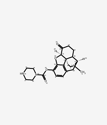 CN1CC[C@]23c4c5ccc(OC(=O)N6CCNCC6)c4O[C@H]2C(=O)CCC3[C@H]1C5